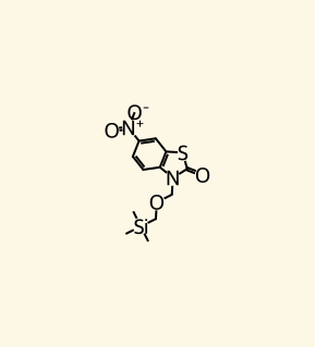 C[Si](C)(C)COCn1c(=O)sc2cc([N+](=O)[O-])ccc21